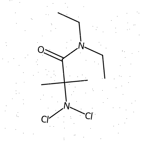 CCN(CC)C(=O)C(C)(C)N(Cl)Cl